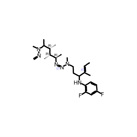 C=NN(C)C(C)[C@H](C)[C@@H](C)[C@@H](C)/N=N\N(C)CCC(Nc1ccc(F)cc1F)/C(C)=C/C